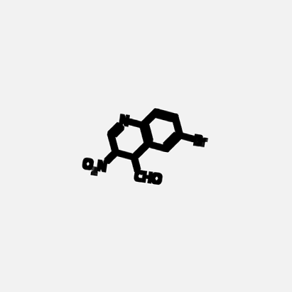 O=CC1c2cc(Br)ccc2N=CC1[N+](=O)[O-]